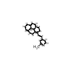 Cc1cc(/C=C/c2ccc3ccc4cccc5ccc2c3c45)ccn1